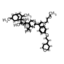 COCCn1cc(-c2ncc(C(=O)NC3(C(=O)O)C(C)CC4CC(C)CC3C4)c(C(F)(F)F)n2)c2ccc(OCCC3CCOCC3)cc21